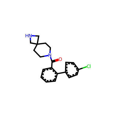 O=C(c1ccccc1-c1ccc(Cl)cc1)N1CCC2(CC1)CNC2